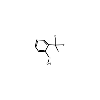 ONc1ccccc1C(F)(F)F